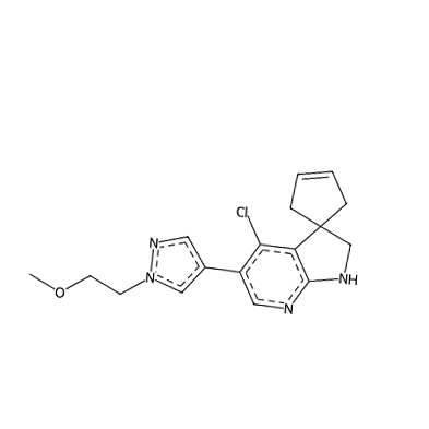 COCCn1cc(-c2cnc3c(c2Cl)C2(CC=CC2)CN3)cn1